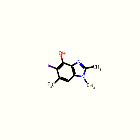 Cc1nc2c(O)c(I)c(C(F)(F)F)cc2n1C